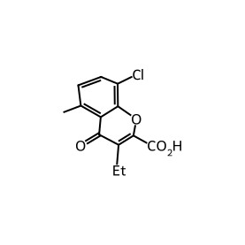 CCc1c(C(=O)O)oc2c(Cl)ccc(C)c2c1=O